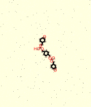 O=C(OCC1CCC(COC(O)OCC2CCC3OC3C2)CC1)OCC1CCC2OC2C1